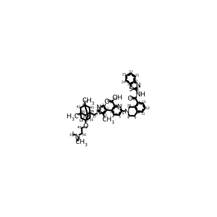 Cc1c(-c2ccc(N3CCc4cccc(C(=O)Nc5nc6ccccc6s5)c4C3)nc2C(=O)O)cnn1CC12CC3(C)CC(C)(C1)CC(OCCN(C)I)(C3)C2